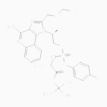 CCOCc1nc2c(N)nc3ccccc3c2n1[C@@H](C)COP(=O)(N[C@@H](C)C(=O)OC(C)(C)C)Oc1ccc(Cl)cc1